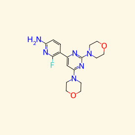 Nc1ccc(-c2cc(N3CCOCC3)nc(N3CCOCC3)n2)c(F)n1